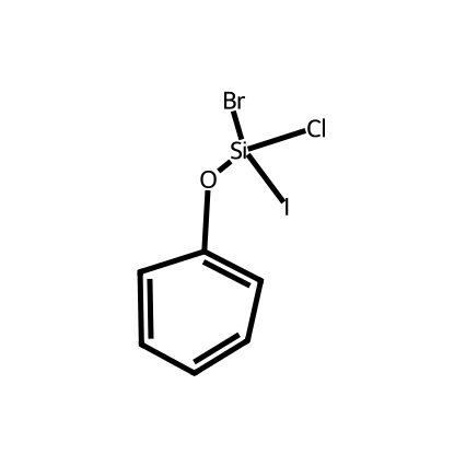 Cl[Si](Br)(I)Oc1ccccc1